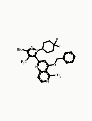 Cc1nccc2nc(-c3c(C(F)(F)F)c(C(C)(C)C)nn3C3CCC(F)(F)CC3)cc(OCc3ccccc3)c12